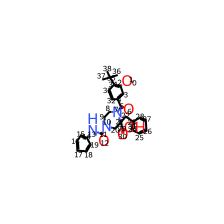 COc1cc(C(=O)N2CCN(C(=O)Nc3ccccc3)CC2(Cc2ccccc2)C(=O)O)ccc1C(C)(C)C